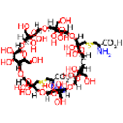 N[C@H](CSCC1O[C@@H]2O[C@@H]3C(CO)O[C@H](O[C@@H]4C(CO)O[C@@H](O[C@@H]5C(CO)O[C@H](O[C@@H]6C(CSC[C@@H](N)C(=O)O)O[C@H](C[C@@H]7C(CO)O[C@H](O[C@@H]8C(CO)O[C@H](O[C@H]1C(O)C2O)C(O)C8O)C(O)C7O)C(O)C6O)C(O)C5O)C(O)C4O)C(O)C3O)C(=O)O